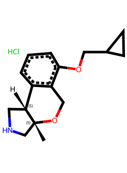 C[C@@]12CNC[C@@H]1c1cccc(OCC3CC3)c1CO2.Cl